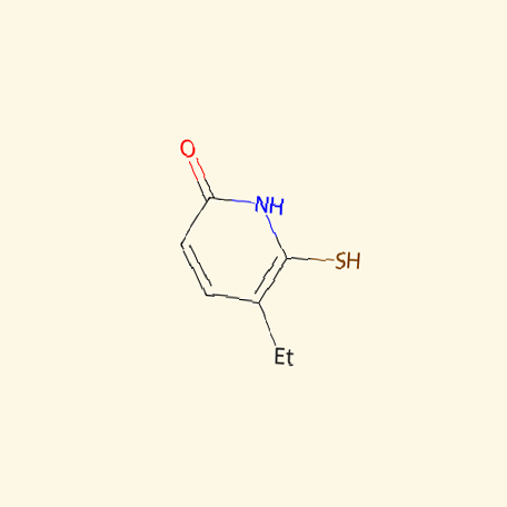 CCc1ccc(=O)[nH]c1S